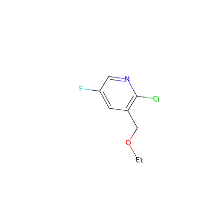 CCOCc1cc(F)cnc1Cl